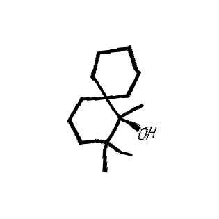 CC1(C)CCCC2(CCCCC2)C1(C)O